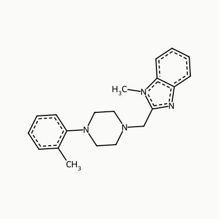 Cc1ccccc1N1CCN(Cc2nc3ccccc3n2C)CC1